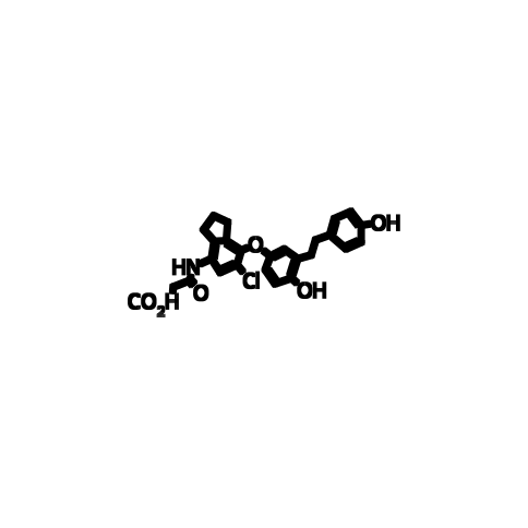 O=C(O)CC(=O)Nc1cc(Cl)c(Oc2ccc(O)c(CCc3ccc(O)cc3)c2)c2c1CCC2